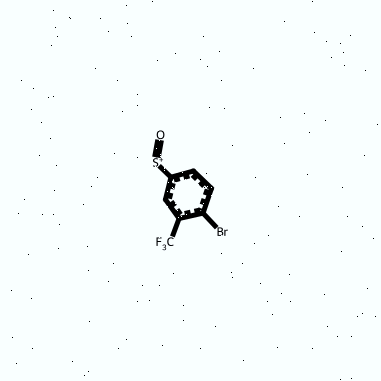 O=[S+]c1ccc(Br)c(C(F)(F)F)c1